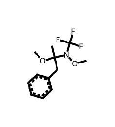 CON(C(F)(F)F)C(C)(Cc1ccccc1)OC